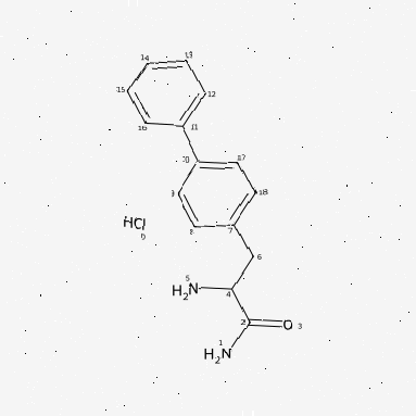 Cl.NC(=O)C(N)Cc1ccc(-c2ccccc2)cc1